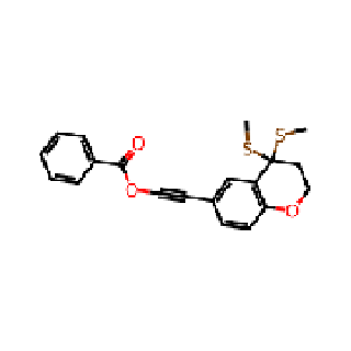 CSC1(SC)CCOc2ccc(C#COC(=O)c3ccccc3)cc21